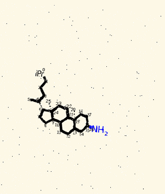 CC(C)CCCC(C)[C@H]1CCC2C3CCC4CC(N)CC[C@]4(C)C3CC[C@@]21C